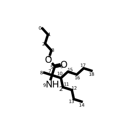 CCCCOC(=O)C(C)(N)C(CCCC)CCCC